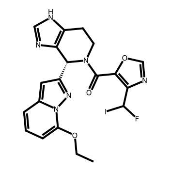 CCOc1cccc2cc([C@@H]3c4nc[nH]c4CCN3C(=O)c3ocnc3C(F)I)nn12